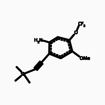 COc1cc(C#C[Si](C)(C)C)c(N)cc1OC(F)(F)F